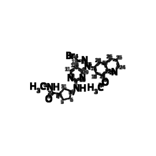 CNC(=O)[C@@H]1CC[C@@H](Nc2ncc3c(Br)nn(-c4cc(OC)c5ncccc5c4)c3n2)C1